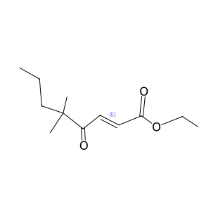 CCCC(C)(C)C(=O)/C=C/C(=O)OCC